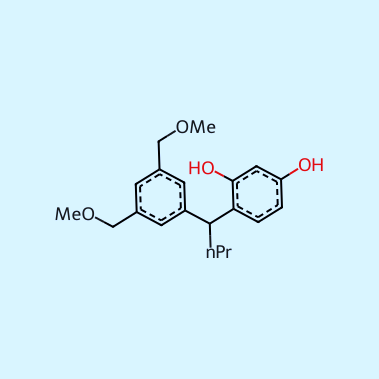 CCCC(c1cc(COC)cc(COC)c1)c1ccc(O)cc1O